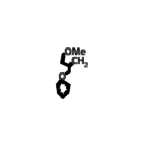 C=C(/C=C\OC)COc1ccccc1